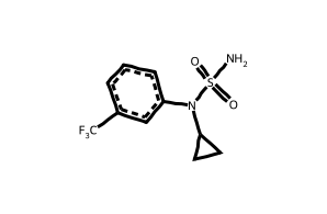 NS(=O)(=O)N(c1cccc(C(F)(F)F)c1)C1CC1